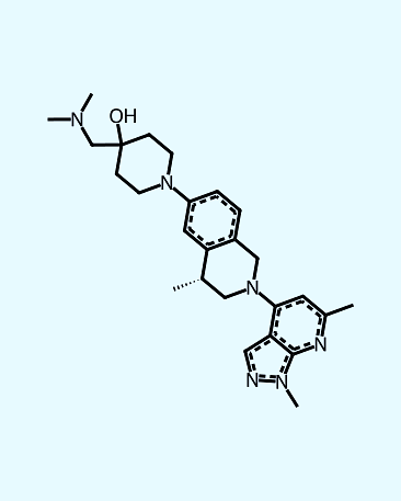 Cc1cc(N2Cc3ccc(N4CCC(O)(CN(C)C)CC4)cc3[C@@H](C)C2)c2cnn(C)c2n1